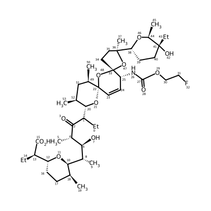 CCC(C(=O)[C@@H](C)[C@@H](O)[C@H](C)[C@@H]1O[C@@H]([C@@H](CC)C(=O)O)CC[C@@H]1C)[C@H]1O[C@]2(C=C[C@@H](NC(=O)OCCF)[C@]3(CC[C@@](C)([C@H]4CC[C@](O)(CC)[C@H](C)O4)O3)O2)[C@H](C)C[C@@H]1C